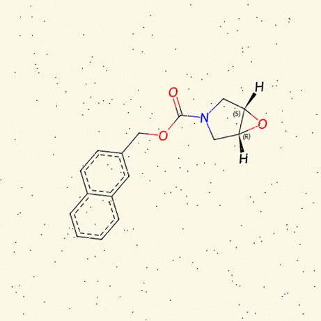 O=C(OCc1ccc2ccccc2c1)N1C[C@@H]2O[C@@H]2C1